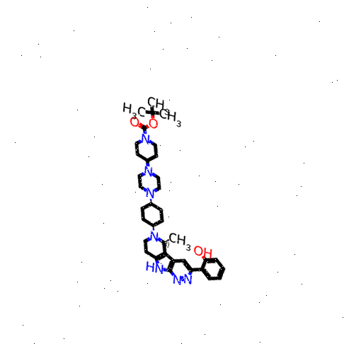 C[C@@H]1c2c([nH]c3nnc(-c4ccccc4O)cc23)CCN1[C@H]1CC[C@@H](N2CCN(C3CCN(C(=O)OC(C)(C)C)CC3)CC2)CC1